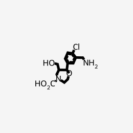 NCc1cc(C2OCCN(C(=O)O)CC2CO)ccc1Cl